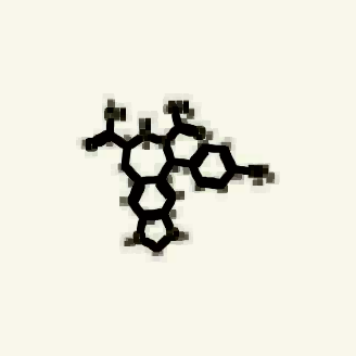 NC(=O)N1NC(C(=O)O)Cc2cc3c(cc2C1c1ccc(N)cc1)OCO3